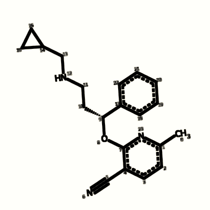 Cc1ccc(C#N)c(O[C@H](CCNCC2CC2)c2ccccc2)n1